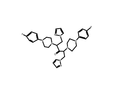 O=C(C(Cn1cccn1)N1CCN(c2ccc(F)cc2)CC1)C(Cn1cccn1)N1CCN(c2ccc(F)cc2)CC1